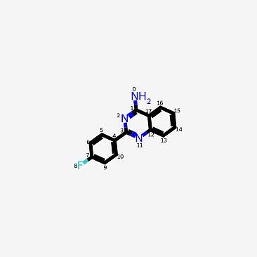 Nc1nc(-c2ccc(F)cc2)nc2ccccc12